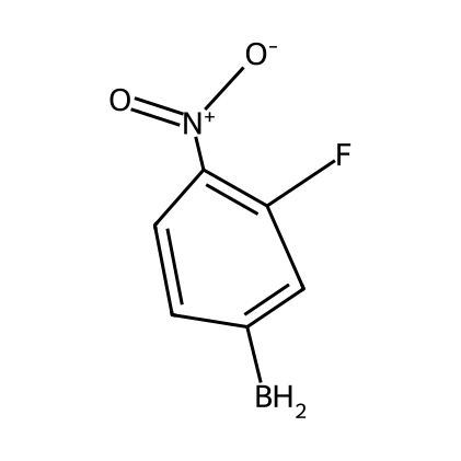 Bc1ccc([N+](=O)[O-])c(F)c1